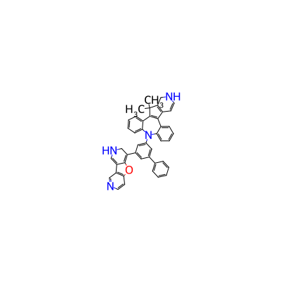 CC1(C)C2=C(C=CNC2)C2=C1c1ccccc1N(c1cc(C3=c4oc5ccncc5c4=CNC3)cc(-c3ccccc3)c1)c1ccccc12